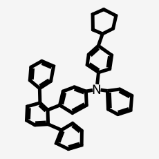 c1ccc(-c2cccc(-c3ccccc3)c2-c2ccc(N(c3ccccc3)c3ccc(C4CCCCC4)cc3)cc2)cc1